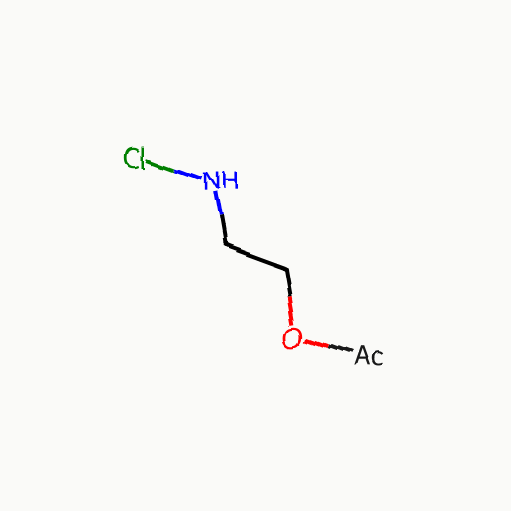 CC(=O)OCCNCl